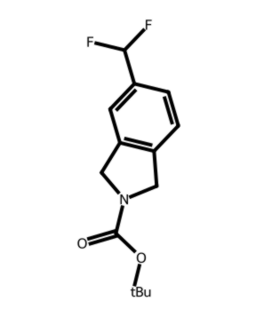 CC(C)(C)OC(=O)N1Cc2ccc(C(F)F)cc2C1